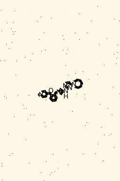 CN1CCC(C(=O)c2ccccc2CN2CC(Nc3nccc(N4CCCCCCC4)n3)C2)CC1